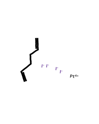 C=CCCC=C.[I-].[I-].[I-].[I-].[Pt+4]